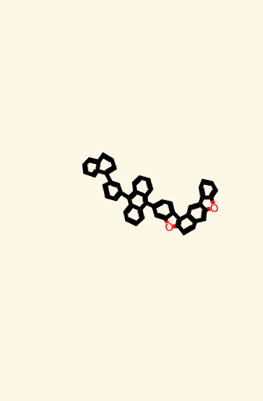 c1cc(-c2cccc3ccccc23)cc(-c2c3ccccc3c(-c3ccc4c(c3)oc3ccc5cc6oc7ccccc7c6cc5c34)c3ccccc23)c1